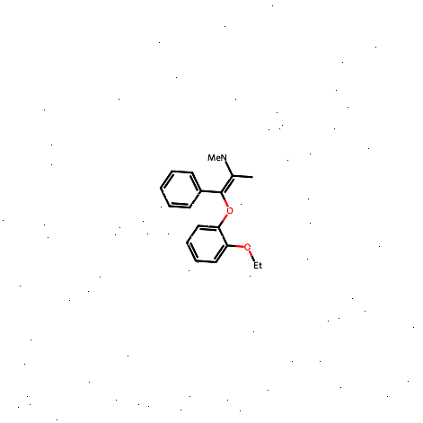 CCOc1ccccc1OC(=C(C)NC)c1ccccc1